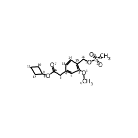 COc1cc(CC(=O)OC2CCC2)ccc1COS(C)(=O)=O